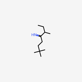 CCC(C)C(=N)CCC(C)(C)C